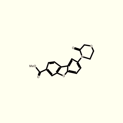 COC(=O)c1ccc2c(c1)oc1ccc(N3CCOCC3=O)cc12